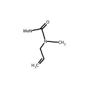 C=CCN(C)C(=O)NC